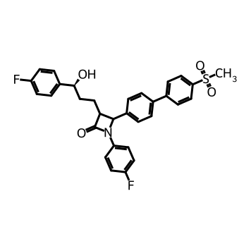 CS(=O)(=O)c1ccc(-c2ccc(C3C(CC[C@H](O)c4ccc(F)cc4)C(=O)N3c3ccc(F)cc3)cc2)cc1